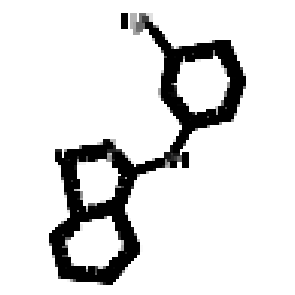 Nc1cccc(Nc2noc3ccccc23)c1